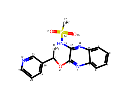 CCCC(Oc1nc2ccccc2nc1NS(=O)(=O)CCC)c1cccnc1